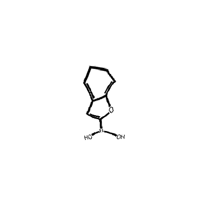 OB(O)c1cc2c(o1)=CCCC=2